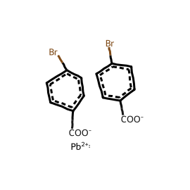 O=C([O-])c1ccc(Br)cc1.O=C([O-])c1ccc(Br)cc1.[Pb+2]